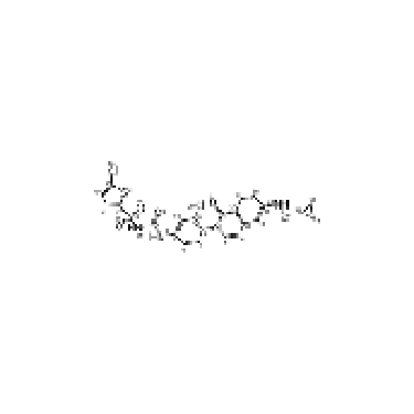 O=C(Nc1ccc(-n2ccc3cc(NCC4CC4)ccc3c2=O)c(Cl)c1)NS(=O)(=O)c1ccc(Cl)s1